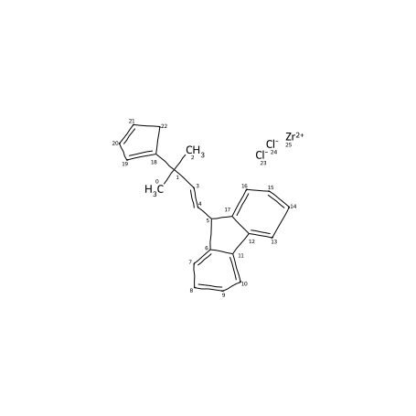 CC(C)(C=CC1c2ccccc2-c2ccccc21)C1=CC=CC1.[Cl-].[Cl-].[Zr+2]